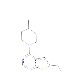 CC1CCN(c2ncnc3sc(CC(F)(F)F)cc23)CC1